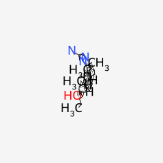 CCCC[C@@]1(O)CC[C@@]2(C)[C@H](CC[C@@H]3[C@@H]2CC[C@]2(C)[C@@H]([C@H](C)Cn4cc(C#N)cn4)CC[C@@H]32)C1